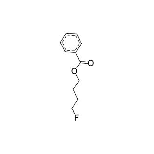 O=C(OCCCCF)c1ccccc1